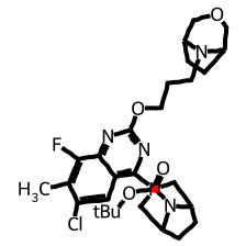 Cc1c(Cl)cc2c(N3CC4CCC(C3)N4C(=O)OC(C)(C)C)nc(OCCCN3C4CCC3COC4)nc2c1F